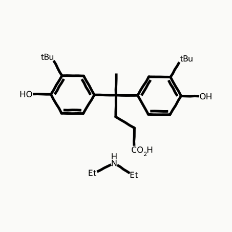 CC(C)(C)c1cc(C(C)(CCC(=O)O)c2ccc(O)c(C(C)(C)C)c2)ccc1O.CCNCC